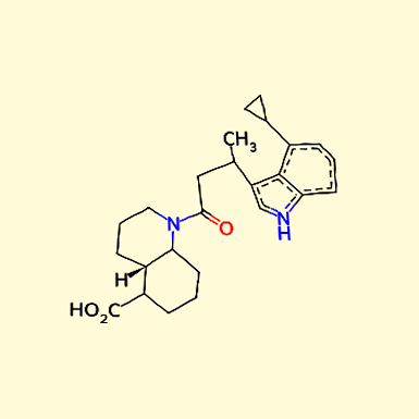 CC(CC(=O)N1CCC[C@H]2C(C(=O)O)CCCC21)c1c[nH]c2cccc(C3CC3)c12